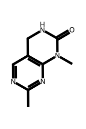 Cc1ncc2c(n1)N(C)C(=O)NC2